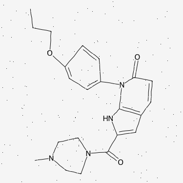 CCCOc1ccc(-n2c(=O)ccc3cc(C(=O)N4CCN(C)CC4)[nH]c32)cc1